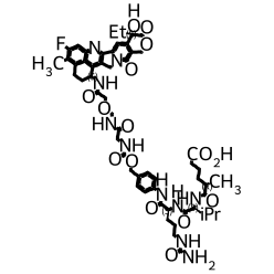 CC[C@@]1(O)C(=O)OCc2c1cc1n(c2=O)Cc2c-1nc1cc(F)c(C)c3c1c2[C@@H](NC(=O)COCNC(=O)CNC(=O)OCc1ccc(NC(=O)[C@H](CCCNC(N)=O)NC(=O)[C@@H](NC(=O)[C@H](C)CCCC(=O)O)C(C)C)cc1)CC3